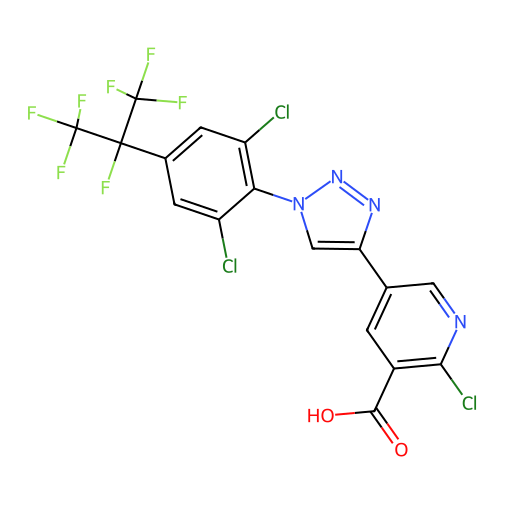 O=C(O)c1cc(-c2cn(-c3c(Cl)cc(C(F)(C(F)(F)F)C(F)(F)F)cc3Cl)nn2)cnc1Cl